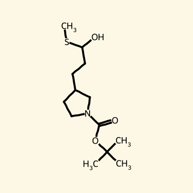 CSC(O)CCC1CCN(C(=O)OC(C)(C)C)C1